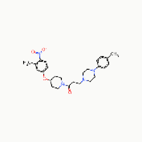 Cc1ccc(N2CCN(CCC(=O)N3CCC(Oc4ccc([N+](=O)[O-])c(C)c4)CC3)CC2)cc1